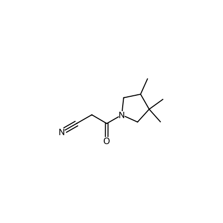 CC1CN(C(=O)CC#N)CC1(C)C